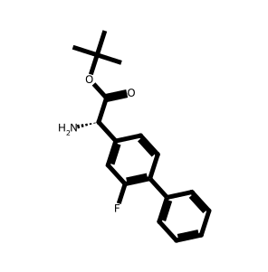 CC(C)(C)OC(=O)[C@@H](N)c1ccc(-c2ccccc2)c(F)c1